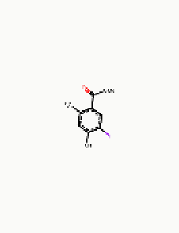 COC(=O)c1cc(I)c(C#N)cc1C(F)(F)F